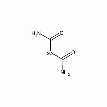 NC(=O)[Se]C(N)=O